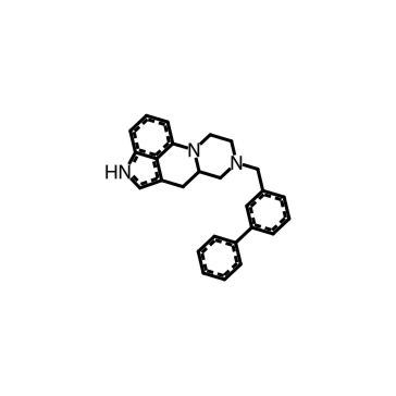 c1ccc(-c2cccc(CN3CCN4c5cccc6[nH]cc(c56)CC4C3)c2)cc1